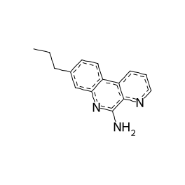 CCCc1ccc2c(c1)nc(N)c1ncccc12